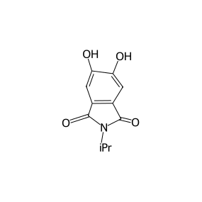 CC(C)N1C(=O)c2cc(O)c(O)cc2C1=O